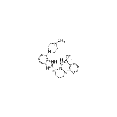 CN1CCN(c2cccc3nc([C@H]4CCC[C@@H](c5ncccc5OC(F)(F)F)N4C)[nH]c23)CC1